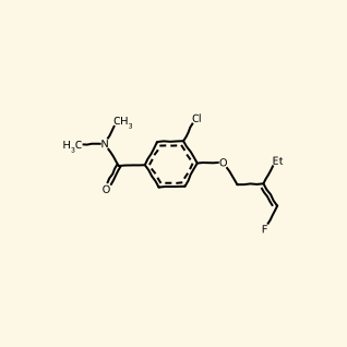 CC/C(=C/F)COc1ccc(C(=O)N(C)C)cc1Cl